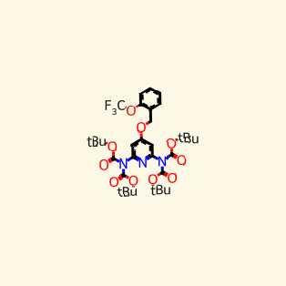 CC(C)(C)OC(=O)N(C(=O)OC(C)(C)C)c1cc(OCc2ccccc2OC(F)(F)F)cc(N(C(=O)OC(C)(C)C)C(=O)OC(C)(C)C)n1